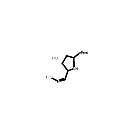 CCCCCC1CCC(/C=N\O)N1.Cl